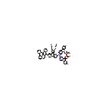 CCCCCCC1(CCCCCC)c2cc(-c3c4ccccc4c(-c4ccccc4-c4ccccc4)c4ccccc34)ccc2-c2ccc(N(c3ccc4c(c3)C(CCCC)(CCCC)c3cc(C)ccc3-4)c3ccc4c(c3)C(CCCC)(CCCC)c3cc(C)ccc3-4)cc21